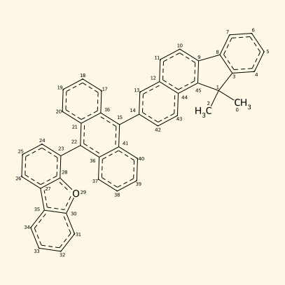 CC1(C)c2ccccc2-c2ccc3cc(-c4c5ccccc5c(-c5cccc6c5oc5ccccc56)c5ccccc45)ccc3c21